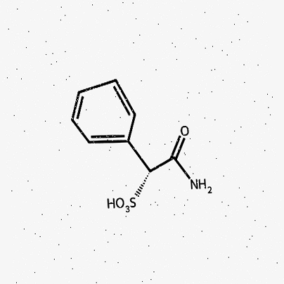 NC(=O)[C@@H](c1ccccc1)S(=O)(=O)O